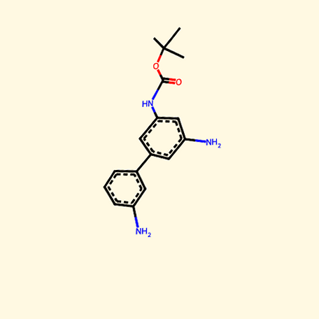 CC(C)(C)OC(=O)Nc1cc(N)cc(-c2cccc(N)c2)c1